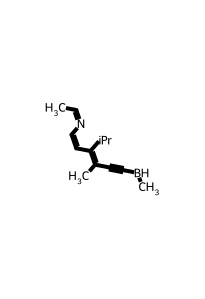 CBC#C/C(C)=C(/C=C\N=C/C)C(C)C